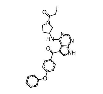 O=C(c1ccc(Oc2ccccc2)cc1)c1c[nH]c2ncnc(NC3CCN(C(=O)CI)C3)c12